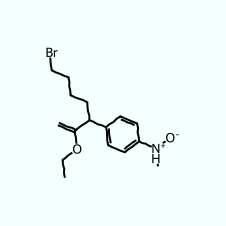 C=C(OCC)C(CCCCBr)c1ccc([NH+](C)[O-])cc1